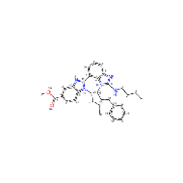 CCCCNc1nc2cccc(-c3nc4cc(C(=O)OC)ccc4n3CCCC)c2n1CCCc1ccccc1